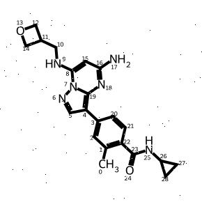 Cc1cc(-c2cnn3c(NCC4COC4)cc(N)nc23)ccc1C(=O)NC1CC1